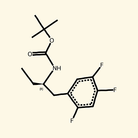 CC[C@H](Cc1cc(F)c(F)cc1F)NC(=O)OC(C)(C)C